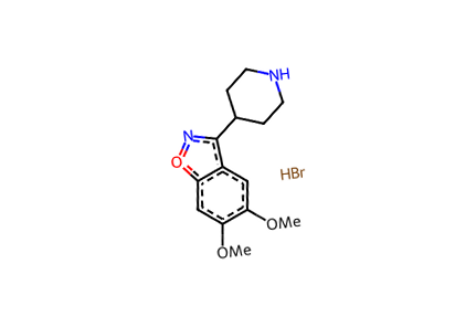 Br.COc1cc2onc(C3CCNCC3)c2cc1OC